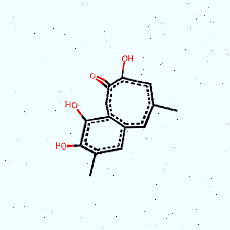 Cc1cc(O)c(=O)c2c(O)c(O)c(C)cc2c1